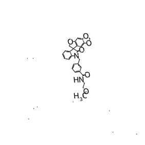 COCCNC(=O)c1cccc(CN2C(=O)C3(COc4cc5c(cc43)OCO5)c3ccccc32)c1